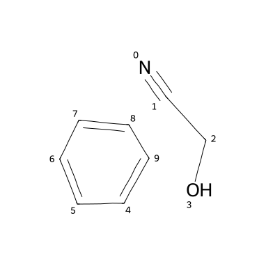 N#CCO.c1ccccc1